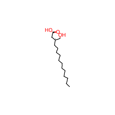 CCCCCCCCCCCC[C](CO)CC(=O)O